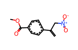 C=C(C[N+](=O)[O-])c1ccc(C(=O)OC)cc1